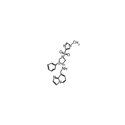 Cn1cnc(S(=O)(=O)N2C[C@H](NCc3cccn4ccnc34)[C@@H](c3ccccc3)C2)c1